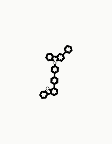 c1ccc(-c2ccc3c(c2)c2ccccc2n3-c2ccc(-c3ccc(-c4cccc5c4oc4ccccc45)cc3)cc2)cc1